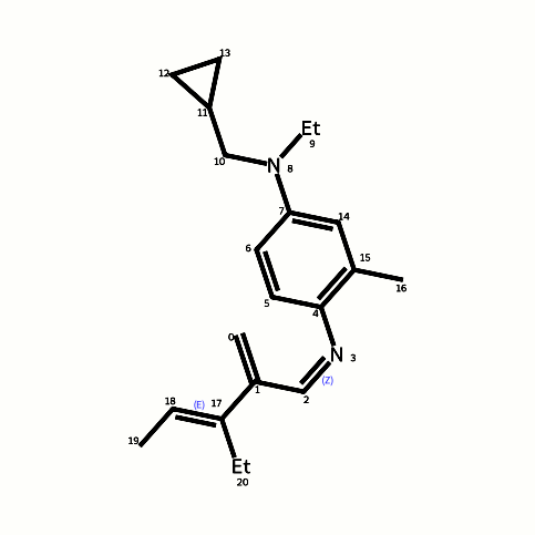 C=C(/C=N\c1ccc(N(CC)CC2CC2)cc1C)/C(=C/C)CC